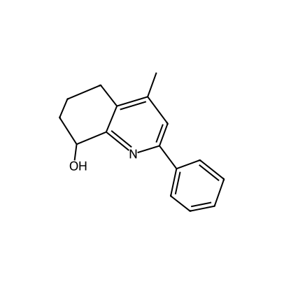 Cc1cc(-c2ccccc2)nc2c1CCCC2O